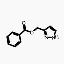 O=C(OCc1cc[nH]n1)c1ccccc1